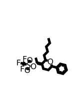 CCCCCC1OC(c2ccccc2)CCC1=C(C)OS(=O)(=O)C(F)(F)F